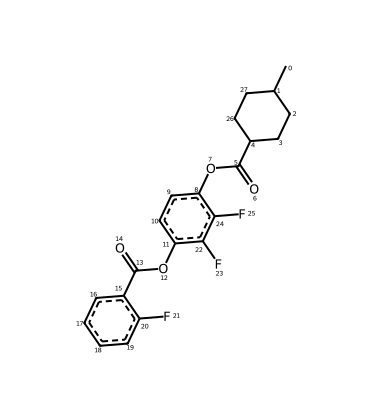 CC1CCC(C(=O)Oc2ccc(OC(=O)c3ccccc3F)c(F)c2F)CC1